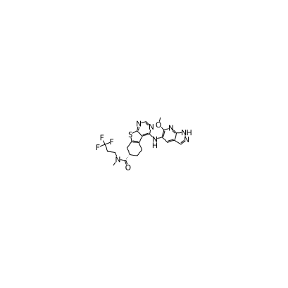 COc1nc2[nH]ncc2cc1Nc1ncnc2sc3c(c12)CC[C@H](C(=O)N(C)CCC(F)(F)F)C3